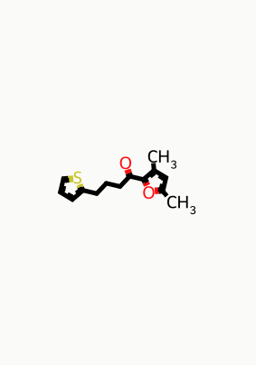 Cc1cc(C)c(C(=O)CCCc2cccs2)o1